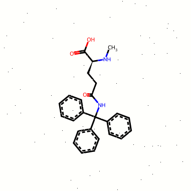 CN[C@@H](CCC(=O)NC(c1ccccc1)(c1ccccc1)c1ccccc1)C(=O)O